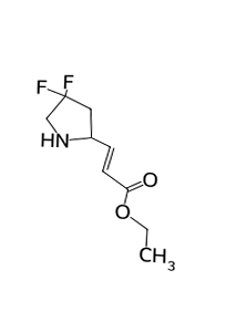 CCOC(=O)C=CC1CC(F)(F)CN1